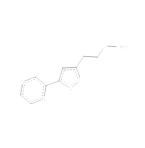 O=COCCc1cc(-c2cnccn2)no1